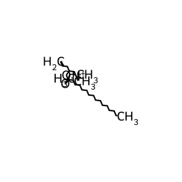 C=CCC(C[N+](C)(C)C)OC(=O)CCCCCCCCCCCCCCC